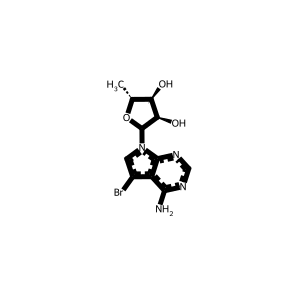 C[C@H]1OC(n2cc(Br)c3c(N)ncnc32)[C@H](O)[C@@H]1O